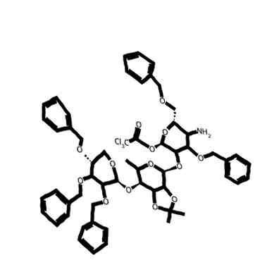 CC1O[C@@H](OC2C(OCc3ccccc3)C(N)[C@@H](COCc3ccccc3)O[C@@H]2OC(=O)C(Cl)(Cl)Cl)C2OC(C)(C)OC2[C@H]1O[C@@H]1OC[C@@H](OCc2ccccc2)C(OCc2ccccc2)C1OCc1ccccc1